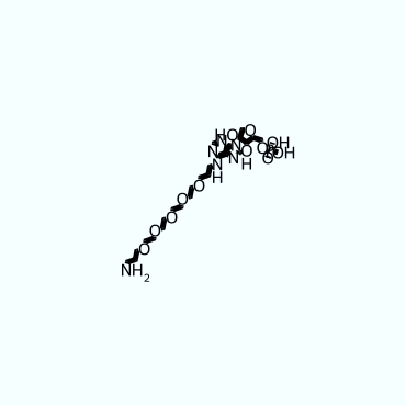 NCCCOCCOCCOCCOCCOCCCNc1ncnc2c1ncn2C1(O)COC(COP(=O)(O)O)C1O